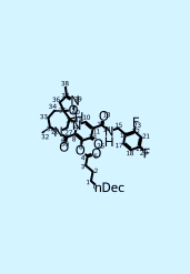 CCCCCCCCCCCCCC(=O)Oc1c2n(cc(C(=O)NCc3ccc(F)cc3F)c1=O)[C@@H]1CN(C2=O)[C@@H](C)CC[C@]12CC(C)=NO2